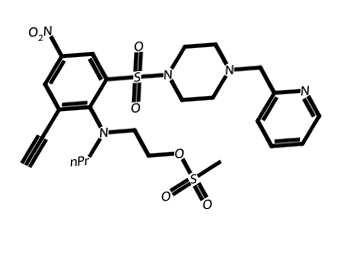 C#Cc1cc([N+](=O)[O-])cc(S(=O)(=O)N2CCN(Cc3ccccn3)CC2)c1N(CCC)CCOS(C)(=O)=O